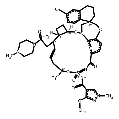 COc1nn(C)cc1C(=O)N[S@@]1(=O)=NC(=O)c2ccc3c(c2)N(C[C@@H]2CC[C@H]2[C@](O)(CC(=O)N2CCN(C)CC2)/C=C/C[C@H](C)C1)C[C@@]1(CCCc2cc(Cl)ccc21)CO3